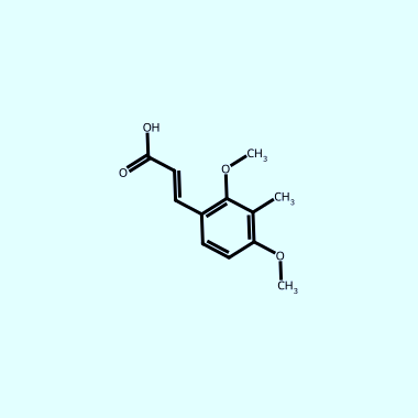 COc1ccc(/C=C/C(=O)O)c(OC)c1C